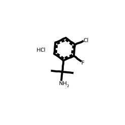 CC(C)(N)c1cccc(Cl)c1F.Cl